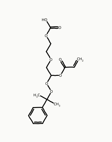 C=CC(=O)OC(COCCOC(=O)O)OOC(C)(C)c1ccccc1